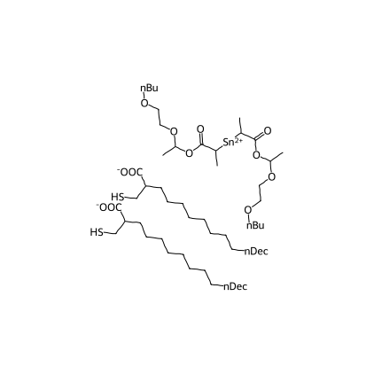 CCCCCCCCCCCCCCCCCCC(CS)C(=O)[O-].CCCCCCCCCCCCCCCCCCC(CS)C(=O)[O-].CCCCOCCOC(C)OC(=O)[CH](C)[Sn+2][CH](C)C(=O)OC(C)OCCOCCCC